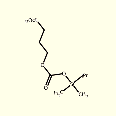 CCCCCCCCCCCOC(=O)O[Si](C)(C)C(C)C